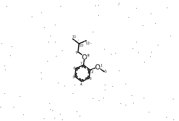 COc1c[c]ccc1OCC(C)C